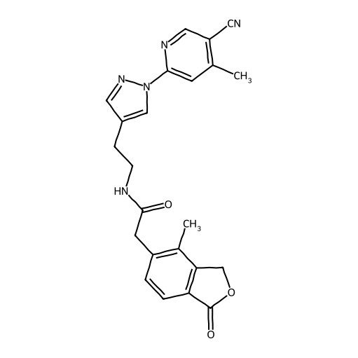 Cc1cc(-n2cc(CCNC(=O)Cc3ccc4c(c3C)COC4=O)cn2)ncc1C#N